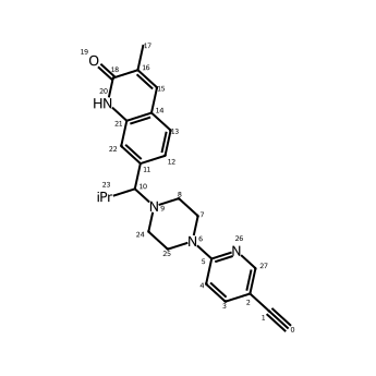 C#Cc1ccc(N2CCN(C(c3ccc4cc(C)c(=O)[nH]c4c3)C(C)C)CC2)nc1